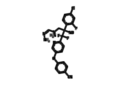 N#Cc1ccc(Oc2ccc(C(F)(F)C(CN(N)/C=N\N)(N=O)c3ccc(Cl)cc3F)nc2)cc1